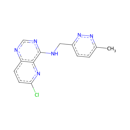 Cc1ccc(CNc2ncnc3ccc(Cl)nc23)nn1